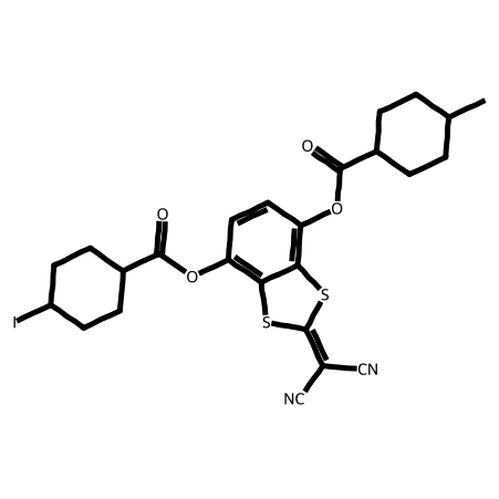 CC1CCC(C(=O)Oc2ccc(OC(=O)C3CCC(I)CC3)c3c2SC(=C(C#N)C#N)S3)CC1